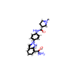 CN1CC[C@H](C(=O)Nc2ccc(-n3cc4cccc(C(N)=O)c4n3)cc2)C1